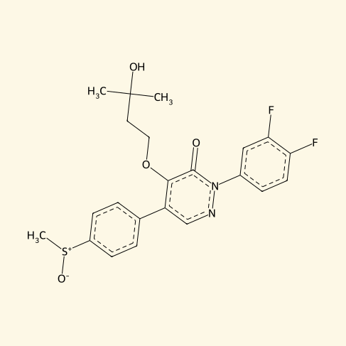 C[S+]([O-])c1ccc(-c2cnn(-c3ccc(F)c(F)c3)c(=O)c2OCCC(C)(C)O)cc1